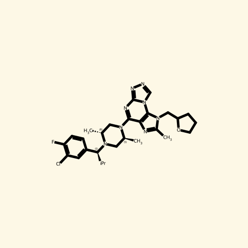 Cc1nc2c(N3C[C@@H](C)N([C@H](c4ccc(F)c(Cl)c4)C(C)C)C[C@@H]3C)nc3nncn3c2n1CC1CCCO1